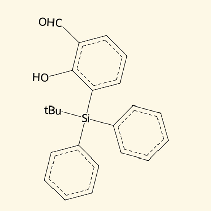 CC(C)(C)[Si](c1ccccc1)(c1ccccc1)c1cccc(C=O)c1O